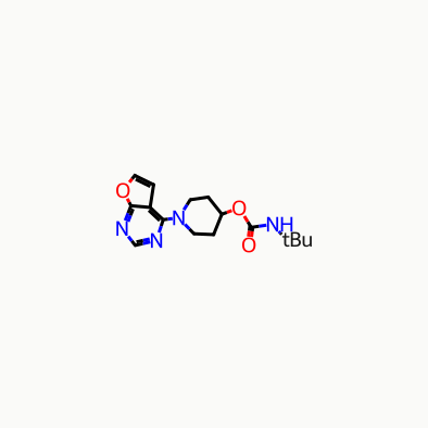 CC(C)(C)NC(=O)OC1CCN(c2ncnc3occc23)CC1